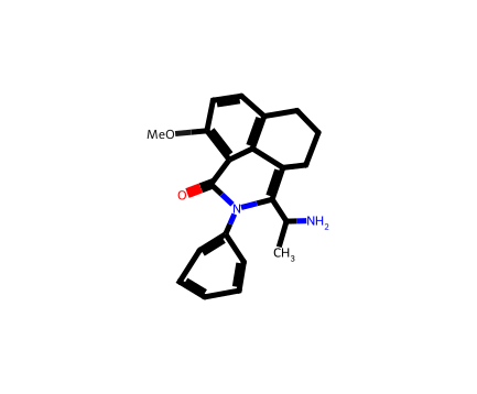 COc1ccc2c3c(c(C(C)N)n(-c4ccccc4)c(=O)c13)CCC2